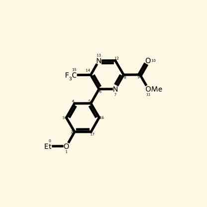 CCOc1ccc(-c2nc(C(=O)OC)cnc2C(F)(F)F)cc1